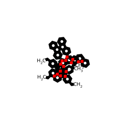 C=Cc1ccc(C2(C3=CCC(C)(C=C)C=C3)c3ccccc3-c3ccc(N(c4ccc(-c5ccccc5)cc4)c4ccc5c(c4)C4(c6ccccc6-c6ccc(N(c7ccc(-c8ccccc8)cc7)c7ccc8c(c7)-c7ccccc7C8(c7ccc(C=C)cc7)c7ccc(C=C)cc7)cc64)c4ccccc4-5)cc32)cc1